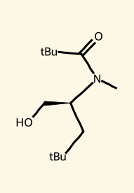 CN(C(=O)C(C)(C)C)[C@H](CO)CC(C)(C)C